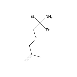 C=C(C)COCC(N)(CC)CC